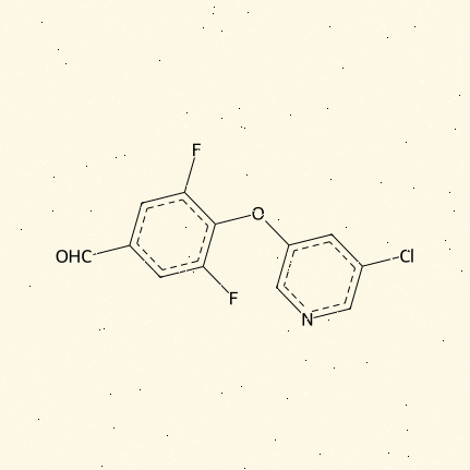 O=Cc1cc(F)c(Oc2cncc(Cl)c2)c(F)c1